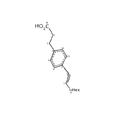 CCCCCCC=Cc1ccc(CCC(=O)O)cc1